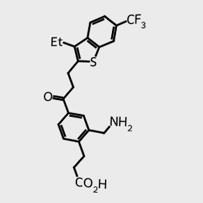 CCc1c(CCC(=O)c2ccc(CCC(=O)O)c(CN)c2)sc2cc(C(F)(F)F)ccc12